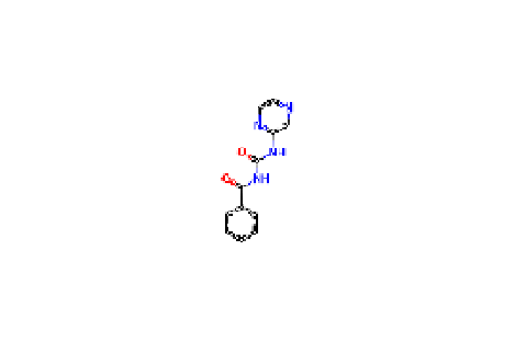 O=C(NC(=O)c1ccccc1)Nc1cnccn1